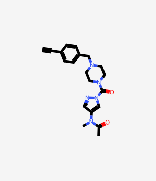 C#Cc1ccc(CN2CCN(C(=O)n3cc(N(C)C(C)=O)cn3)CC2)cc1